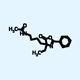 CCC1(CCCCNC(C)=O)N=C(c2ccccc2)OC1=O